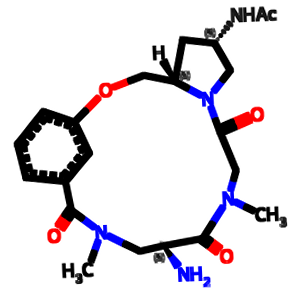 CC(=O)N[C@H]1C[C@H]2COc3cccc(c3)C(=O)N(C)C[C@H](N)C(=O)N(C)CC(=O)N2C1